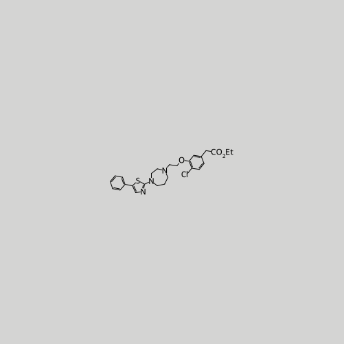 CCOC(=O)Cc1ccc(Cl)c(OCCN2CCCN(c3ncc(-c4ccccc4)s3)CC2)c1